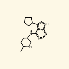 CC1CCC(Nc2ncnc3[nH]cc(C4CCCC4)c23)CN1